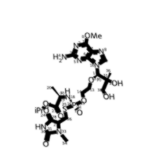 COc1nc(N)nc2c1ncn2[C@H](OCCO[P@@](=O)(N[C@H](C)C(=O)OC(C)C)SCC1C(=O)NC(=O)N1C)[C@](C)(O)CO